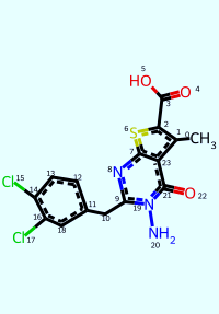 Cc1c(C(=O)O)sc2nc(Cc3ccc(Cl)c(Cl)c3)n(N)c(=O)c12